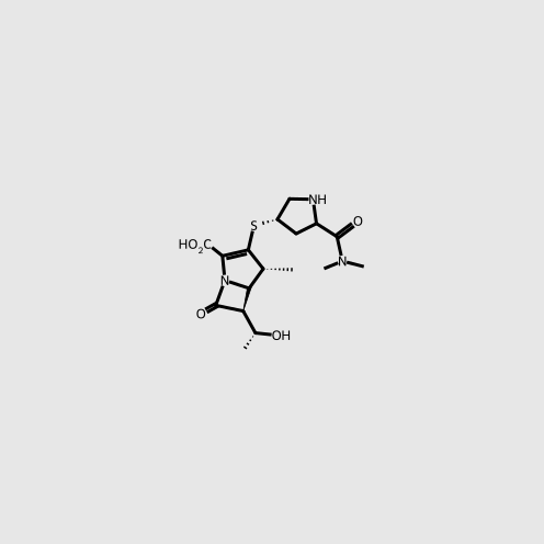 C[C@H]1C(S[C@@H]2CNC(C(=O)N(C)C)C2)=C(C(=O)O)N2C(=O)[C@H]([C@@H](C)O)C12